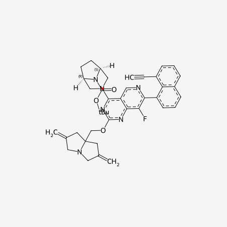 C#Cc1cccc2cccc(-c3ncc4c(N5C[C@H]6CC[C@@H](C5)N6C(=O)OC(C)(C)C)nc(OCC56CC(=C)CN5CC(=C)C6)nc4c3F)c12